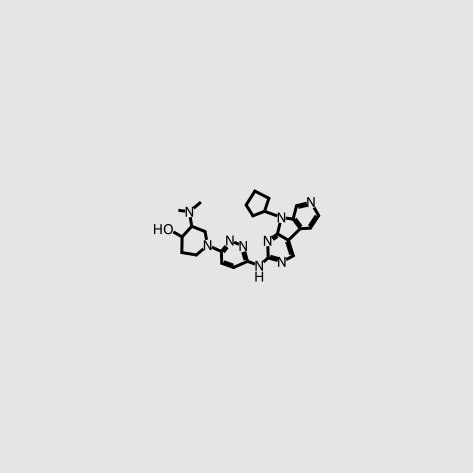 CN(C)C1CN(c2ccc(Nc3ncc4c5ccncc5n(C5CCCC5)c4n3)nn2)CCC1O